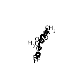 Cc1cn(-c2ccc3n(c2=O)CCC([C@@H](C)[C@@H]2CC[C@H](c4ccc(C(F)(F)F)cc4)O2)C3=O)cn1